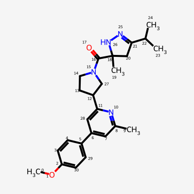 COc1ccc(-c2cc(C)nc(C3CCN(C(=O)C4(C)CC(C(C)C)=NN4)C3)c2)cc1